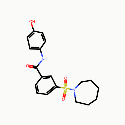 O=C(Nc1ccc(O)cc1)c1cccc(S(=O)(=O)N2CCCCCC2)c1